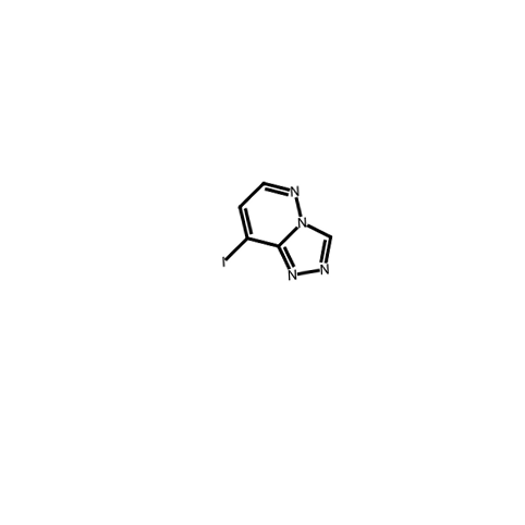 Ic1ccnn2cnnc12